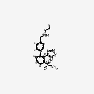 CCCNCc1ccc(-c2cccc(S(N)(=O)=O)c2-c2nnn[nH]2)cc1